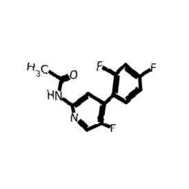 CC(=O)Nc1cc(-c2ccc(F)cc2F)c(F)cn1